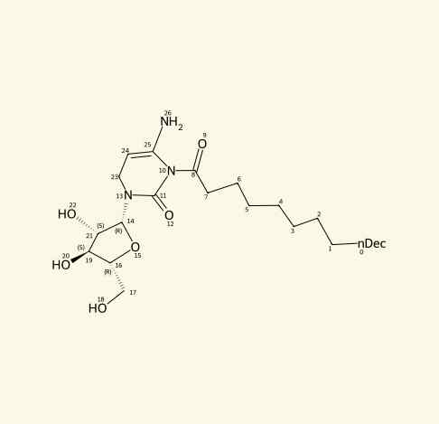 CCCCCCCCCCCCCCCCCC(=O)N1C(=O)N([C@@H]2O[C@H](CO)[C@@H](O)[C@@H]2O)CC=C1N